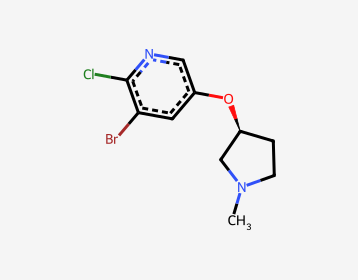 CN1CC[C@H](Oc2cnc(Cl)c(Br)c2)C1